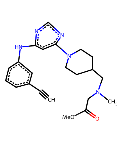 C#Cc1cccc(Nc2cc(N3CCC(CN(C)CC(=O)OC)CC3)ncn2)c1